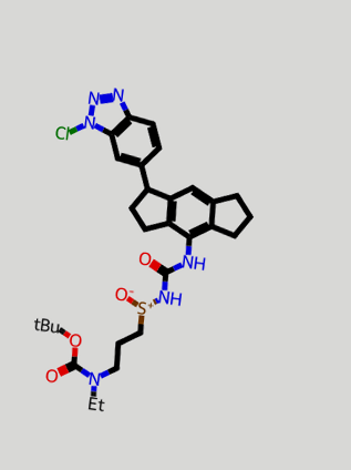 CCN(CCC[S+]([O-])NC(=O)Nc1c2c(cc3c1CCC3c1ccc3nnn(Cl)c3c1)CCC2)C(=O)OC(C)(C)C